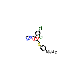 CC(=O)Nc1ccc(SCC2COC(Cn3ccnc3)(c3ccc(Cl)cc3Cl)O2)cc1